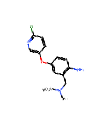 CC(C)(C)N(Cc1cc(Oc2ccc(Cl)nc2)ccc1N)C(=O)O